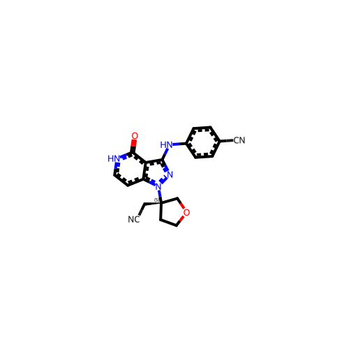 N#CC[C@]1(n2nc(Nc3ccc(C#N)cc3)c3c(=O)[nH]ccc32)CCOC1